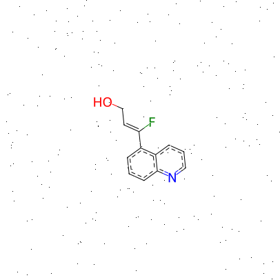 OC/C=C(\F)c1cccc2ncccc12